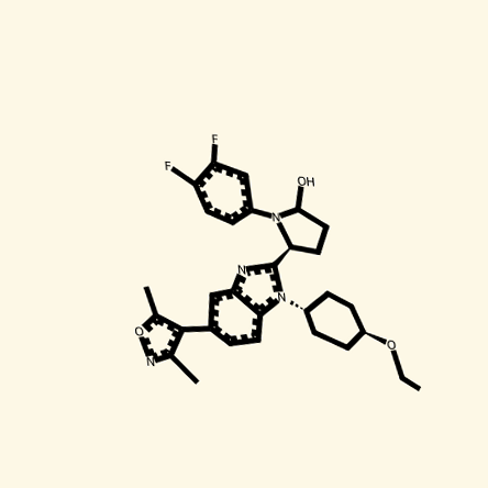 CCO[C@H]1CC[C@H](n2c([C@@H]3CCC(O)N3c3ccc(F)c(F)c3)nc3cc(-c4c(C)noc4C)ccc32)CC1